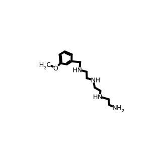 COc1cccc(CNCCNCCNCCN)c1